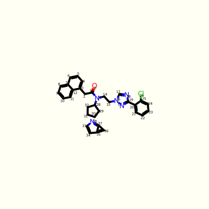 O=C(Cc1cccc2ccccc12)N(CCn1cnc(-c2ccccc2Cl)n1)C1CCCC1.c1cc2cc-2n1